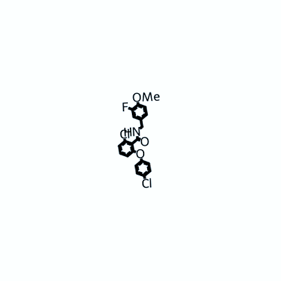 COc1ccc(CNC(=O)c2c(Cl)cccc2Oc2ccc(Cl)cc2)cc1F